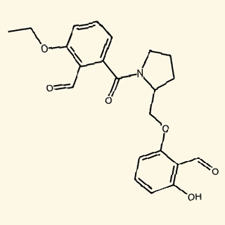 CCOc1cccc(C(=O)N2CCCC2COc2cccc(O)c2C=O)c1C=O